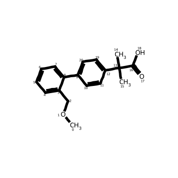 COCc1ccccc1-c1ccc(C(C)(C)C(=O)O)cc1